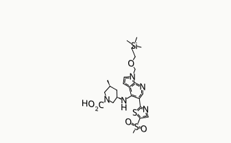 C[C@H]1C[C@@H](Nc2c(-c3ncc(S(C)(=O)=O)s3)cnc3c2ccn3COCC[Si](C)(C)C)CN(C(=O)O)C1